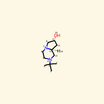 CC(C)(C)N1CCN2C[C@H](O)C[C@H]2C1